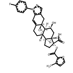 Cc1ccoc1C(=O)O[C@]1(C(=O)S)CC[C@H]2[C@@H]3CCC4=Cc5c(cnn5-c5ccc(F)cc5)C[C@]4(C)[C@H]3[C@@H](O)C[C@@]21C